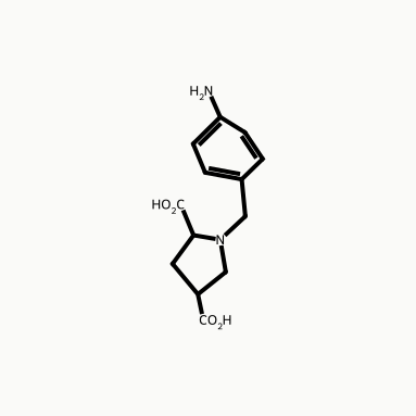 Nc1ccc(CN2CC(C(=O)O)CC2C(=O)O)cc1